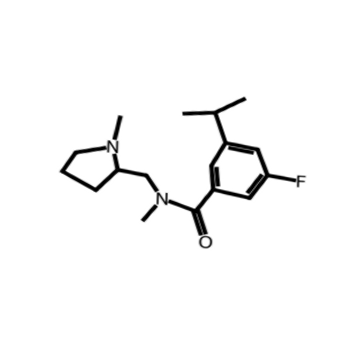 CC(C)c1cc(F)cc(C(=O)N(C)CC2CCCN2C)c1